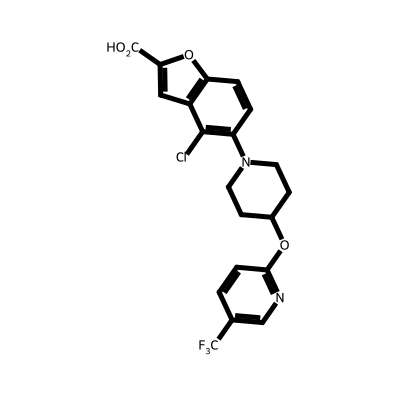 O=C(O)c1cc2c(Cl)c(N3CCC(Oc4ccc(C(F)(F)F)cn4)CC3)ccc2o1